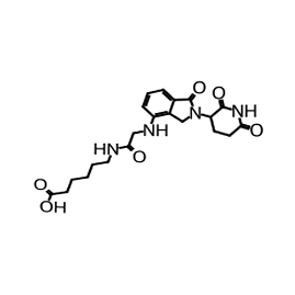 O=C(O)CCCCCNC(=O)CNc1cccc2c1CN(C1CCC(=O)NC1=O)C2=O